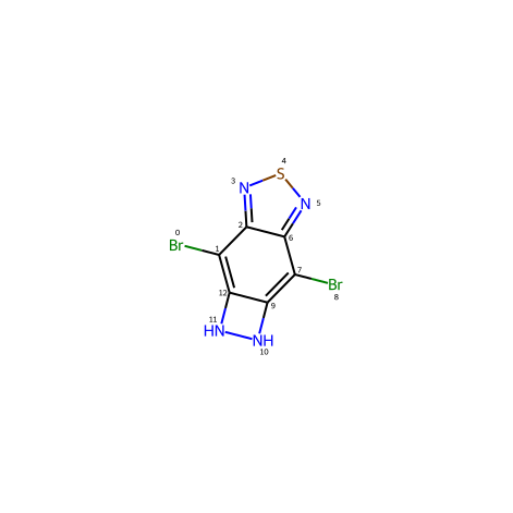 Brc1c2nsnc2c(Br)c2[nH][nH]c12